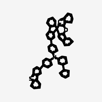 c1ccc(-c2cccc(N(c3ccc(-c4ccc5c(c4)C4(c6ccccc6-5)c5ccc6ccccc6c5Oc5c4ccc4ccccc54)cc3)c3ccc(-c4ccc5sc6ccccc6c5c4)cc3)c2)cc1